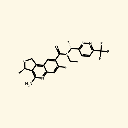 CCN(C(=O)c1cc2c3c(c(N)nc2cc1F)[C@@H](C)OC3)[C@H](C)c1ccc(C(F)(F)F)nn1